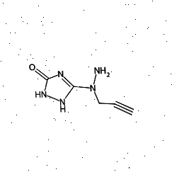 C#CCN(N)c1nc(=O)[nH][nH]1